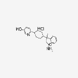 CC(CC(N)=O)(c1ccccc1)C1CCC(c2ccc(O)cn2)CC1.Cl